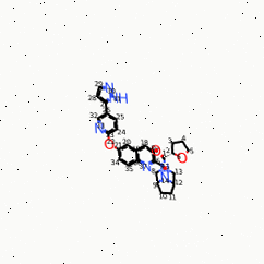 O=C([C@@H]1CCCO1)N1CC2CCC(C1)N2Cc1ccc2cc(Oc3ccc(-c4ccn[nH]4)cn3)ccc2n1